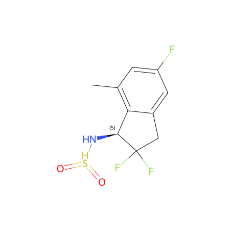 Cc1cc(F)cc2c1[C@H](N[SH](=O)=O)C(F)(F)C2